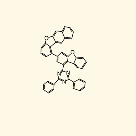 c1ccc(-c2nc(-c3ccccc3)nc(-c3cc(-c4cccc5oc6cc7ccccc7cc6c45)cc4oc5ccccc5c34)n2)cc1